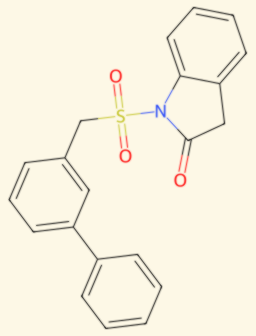 O=C1Cc2ccccc2N1S(=O)(=O)Cc1cccc(-c2ccccc2)c1